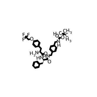 CC(C)(C)OC(=O)NCc1ccc(CNC(=O)[C@H](Cc2ccccc2)NC(=O)[C@H](N)Cc2ccc(OCC(F)(F)F)cc2)cc1